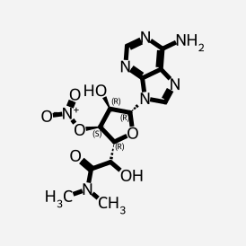 CN(C)C(=O)C(O)[C@H]1O[C@@H](n2cnc3c(N)ncnc32)[C@H](O)[C@@H]1O[N+](=O)[O-]